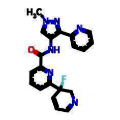 Cn1cc(NC(=O)c2cccc(C3(F)C=CC=NC3)n2)c(-c2ccccn2)n1